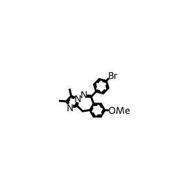 COc1ccc2c(c1)C(c1ccc(Br)cc1)=Nn1c(nc(C)c1C)C2